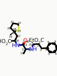 CCOC(=O)[C@H](CCc1ccccc1)NC(C)C(=O)NC(C[C@]1(C)CCCS1)C(=O)O